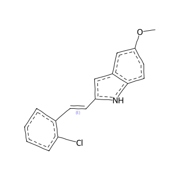 COc1ccc2[nH]c(/C=C/c3ccccc3Cl)cc2c1